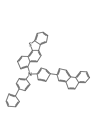 c1ccc(-c2ccc(N(c3ccc(-c4ccc5c(ccc6ccccc65)c4)cc3)c3cccc4c3ccc3c5ccccc5sc43)cc2)cc1